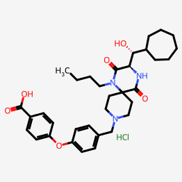 CCCCN1C(=O)[C@@H]([C@H](O)C2CCCCCC2)NC(=O)C12CCN(Cc1ccc(Oc3ccc(C(=O)O)cc3)cc1)CC2.Cl